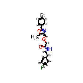 CCc1ccc(-c2nc(COCC(=O)NCCc3ccc(F)cc3)c(C)o2)cc1